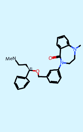 CNCC[C@@H](OCc1cccc(N2CCN(C)c3ccccc3C2=O)c1)c1ccccc1